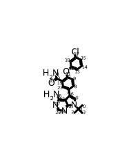 CC(C)(C)n1cc(-c2ccc(Oc3cccc(Cl)c3)c(C(N)=O)c2)c2c(N)ncnc21